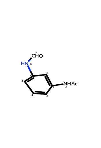 CC(=O)Nc1cccc(NC=O)c1